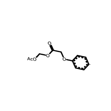 CC(=O)OCOC(=O)COc1cc[c]cc1